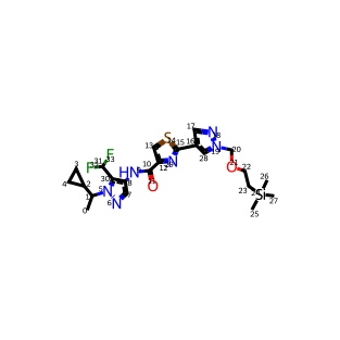 CC(C1CC1)n1ncc(NC(=O)c2csc(-c3cnn(COCC[Si](C)(C)C)c3)n2)c1C(F)F